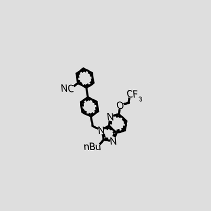 CCCCc1nc2ccc(OCC(F)(F)F)nc2n1Cc1ccc(-c2ccccc2C#N)cc1